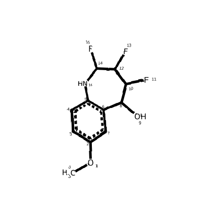 COc1ccc2c(c1)C(O)C(F)C(F)C(F)N2